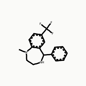 CN1CCNC(c2ccccc2)c2cc(C(F)(F)F)ccc21